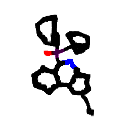 N#Cc1ccc2nc(P(=O)(c3ccccc3)c3ccccc3)c3ccccc3c2c1